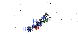 CC(=O)N(CC1CC1)c1ccc(-c2ccc(C(=O)NCCc3cn[nH]c3)cn2)cc1Cl